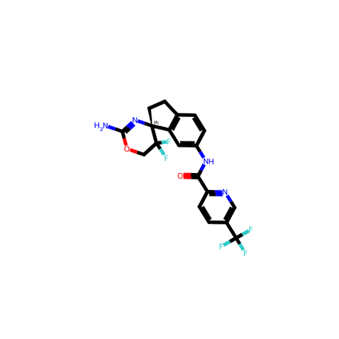 NC1=N[C@@]2(CCc3ccc(NC(=O)c4ccc(C(F)(F)F)cn4)cc32)C(F)(F)CO1